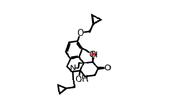 O=C1CCC2(O)C3Cc4ccc(OCC5CC5)c5c4[C@]2(CCN3CC2CC2)[C@@H]1O5